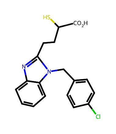 O=C(O)C(S)CCc1nc2ccccc2n1Cc1ccc(Cl)cc1